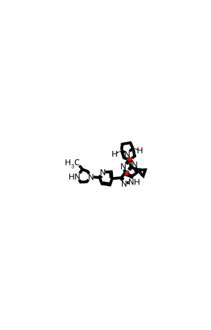 CC1CN(c2ccc(-c3n[nH]c4cnc(N5[C@@H]6CC[C@H]5CN(C(=O)C5CC5)C6)nc34)cn2)CCN1